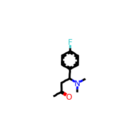 CC(=O)CC(c1ccc(F)cc1)N(C)C